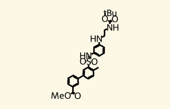 COC(=O)c1cccc(-c2ccc(C)c(S(=O)(=O)Nc3cccc(NCCNC(=O)OC(C)(C)C)c3)c2)c1